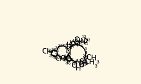 C[C@@H]1[C@@H](C)CCC[C@@H](C(=O)N2CCC2)[C@@H]2CC[C@H]2CN2CCCCC3C=C(Cl)C=CC3(C)COc3ccc(cc32)C(=O)NS1(=O)=O